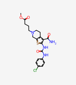 COC(=O)CCCN1CCc2c(sc(NC(=O)Nc3ccc(Cl)cc3)c2C(N)=O)C1